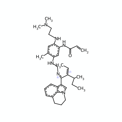 C=CC(=O)Nc1cc(NC/N=C(\C(=C/C)C(C)CC)c2cn3c4c(cccc24)CCC3)c(C)cc1NCCN(C)C